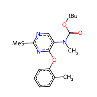 CSc1ncc(N(C)C(=O)OC(C)(C)C)c(Oc2ccccc2C)n1